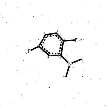 CN(C)c1cc(F)ccc1F